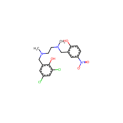 CN(CCN(C)Cc1cc(Cl)cc(Cl)c1O)Cc1cc([N+](=O)[O-])ccc1O